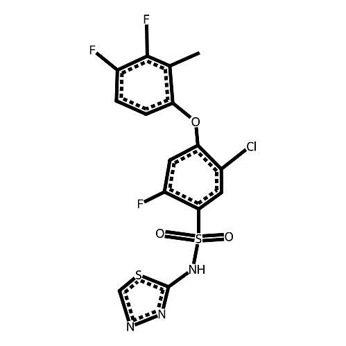 Cc1c(Oc2cc(F)c(S(=O)(=O)Nc3nncs3)cc2Cl)ccc(F)c1F